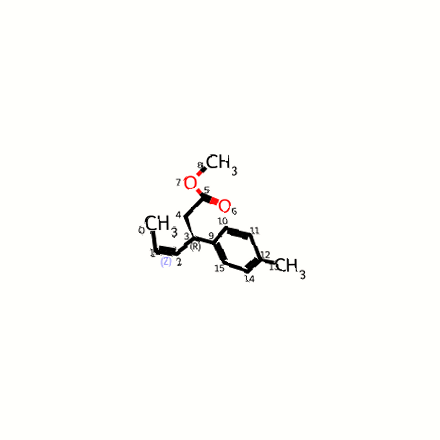 C/C=C\[C@@H](CC(=O)OC)c1ccc(C)cc1